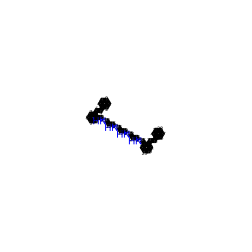 c1ccc(CCc2ccccc2CNCCCNCCCNCCCNCc2ccccc2CCc2ccccc2)cc1